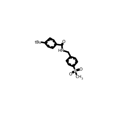 CC(C)(C)c1ccc(C(=O)NCc2ccc(S(C)(=O)=O)cc2)cc1